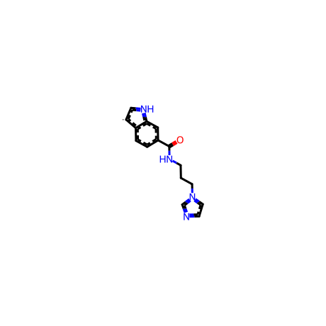 O=C(NCCCn1ccnc1)c1ccc2[c]c[nH]c2c1